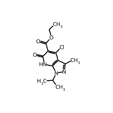 CCOC(=O)c1c(Cl)c2c(C)nn(C(C)C)c2[nH]c1=O